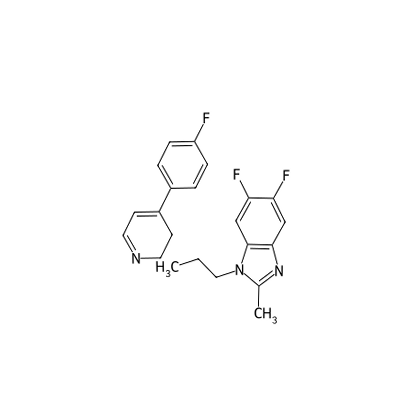 CCCn1c(C)nc2cc(F)c(F)cc21.Fc1ccc(C2=CC=NCC2)cc1